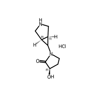 Cl.O=C1[C@H](O)CCN1C1[C@H]2CNC[C@@H]12